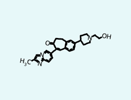 Cc1cn2cc(C3=Cc4ccc(C5CCN(CCO)CC5)cc4CCC3=O)ccc2n1